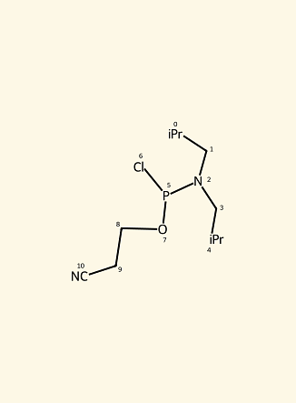 CC(C)CN(CC(C)C)P(Cl)OCCC#N